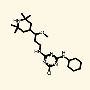 COC(CCNc1nc(Cl)nc(NC2CCCCC2)n1)C1CC(C)(C)NC(C)(C)C1